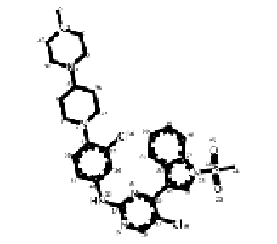 CN1CCN(C2CCN(c3ccc(Nc4ncc(Cl)c(-c5cn(S(C)(=O)=O)c6ccccc56)n4)cc3Cl)CC2)CC1